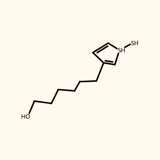 OCCCCCCC1=C[SH](S)C=C1